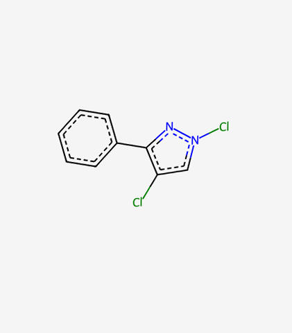 Clc1cn(Cl)nc1-c1ccccc1